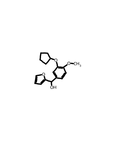 COc1ccc(C(O)c2ccco2)cc1OC1CCCC1